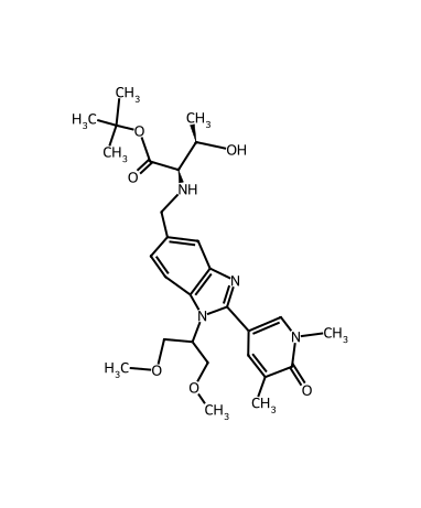 COCC(COC)n1c(-c2cc(C)c(=O)n(C)c2)nc2cc(CN[C@@H](C(=O)OC(C)(C)C)[C@@H](C)O)ccc21